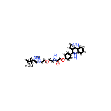 CCC(C)C(C)C(C)(C)c1cn(CCOCCNC(=O)COc2ccc(C3Nc4ccccc4C4=C3CCN4)cc2)nn1